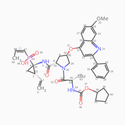 C=C[C@@H]1C[C@]1(NC(=O)[C@@H]1C[C@@H](Oc2cc(-c3ccccc3)nc3cc(OC)ccc23)CN1C(=O)[C@@H](NC(=O)OC1CCCC1)C(C)(C)C)P(=O)(O)/C=C\C